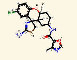 Cc1ncoc1C(=O)NC1CC[C@@H]2Oc3ccc(Br)cc3C3(CSC(N)=N3)[C@H]2C1